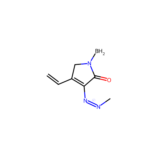 BN1CC(C=C)=C(/N=N\C)C1=O